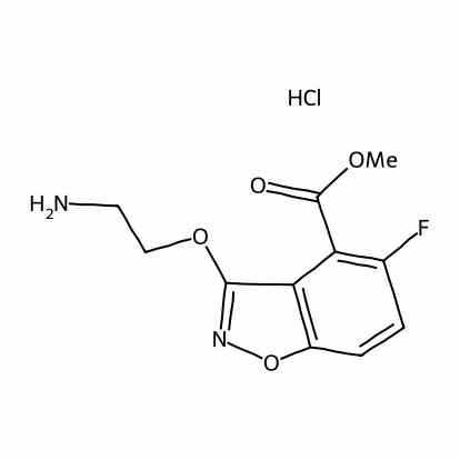 COC(=O)c1c(F)ccc2onc(OCCN)c12.Cl